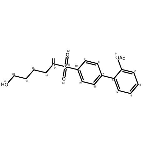 CC(=O)Oc1ccccc1-c1ccc(S(=O)(=O)NCCCCO)cc1